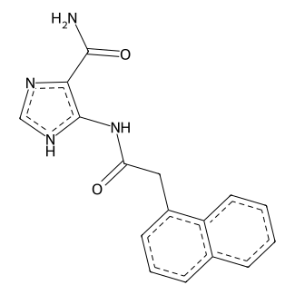 NC(=O)c1nc[nH]c1NC(=O)Cc1cccc2ccccc12